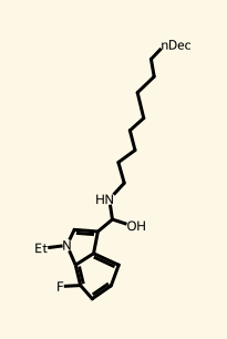 CCCCCCCCCCCCCCCCCCNC(O)c1cn(CC)c2c(F)cccc12